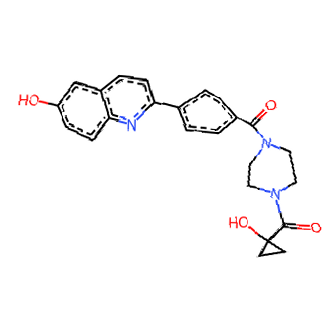 O=C(c1ccc(-c2ccc3cc(O)ccc3n2)cc1)N1CCN(C(=O)C2(O)CC2)CC1